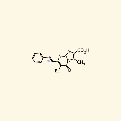 CCc1c(/C=C/c2ccccc2)nc2sc(C(=O)O)c(C)n2c1=O